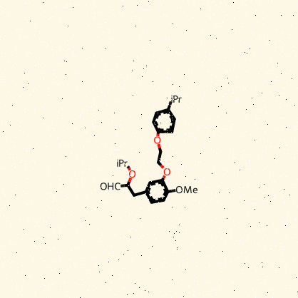 COc1ccc(CC(C=O)OC(C)C)cc1OCCOc1ccc(C(C)C)cc1